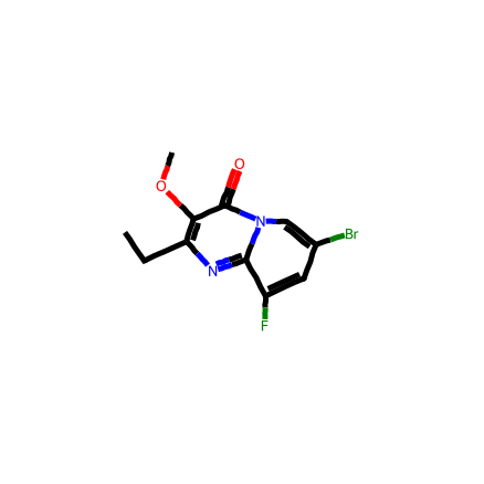 CCc1nc2c(F)cc(Br)cn2c(=O)c1OC